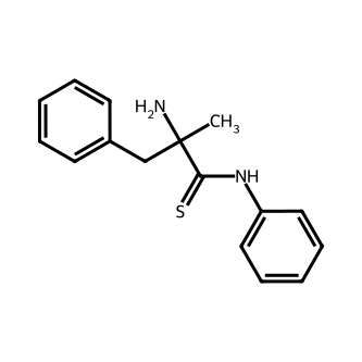 CC(N)(Cc1ccccc1)C(=S)Nc1ccccc1